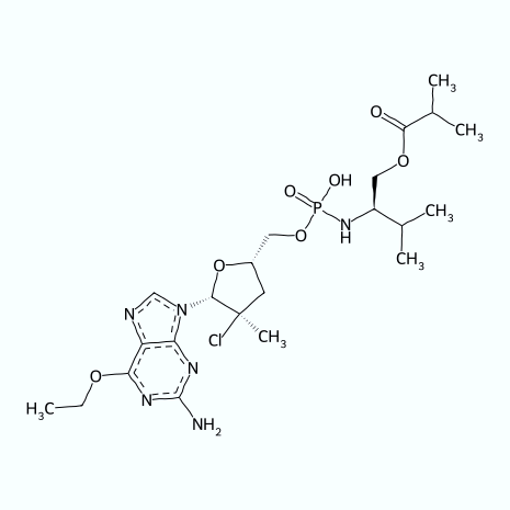 CCOc1nc(N)nc2c1ncn2[C@@H]1O[C@H](COP(=O)(O)N[C@@H](COC(=O)C(C)C)C(C)C)C[C@@]1(C)Cl